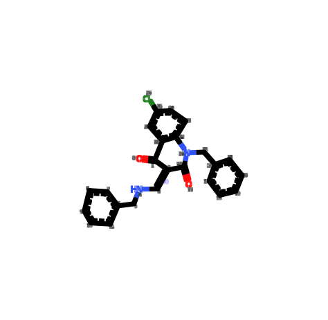 O=C1/C(=C\NCc2ccccc2)C(=O)N(Cc2ccccc2)c2ccc(Cl)cc21